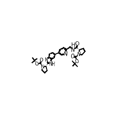 CC(C)(C)OC(=O)N1CCC[C@H]1C(=O)NCc1ccc(-c2ccc3nc([C@@H]4CCCN4C(=O)OC(C)(C)C)[nH]c3c2)cn1